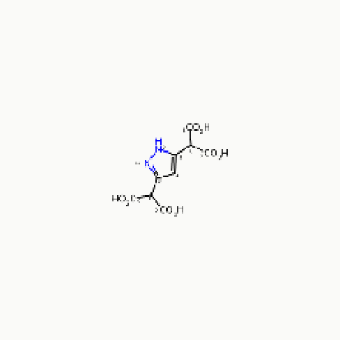 O=C(O)C(C(=O)O)c1cc(C(C(=O)O)C(=O)O)[nH]n1